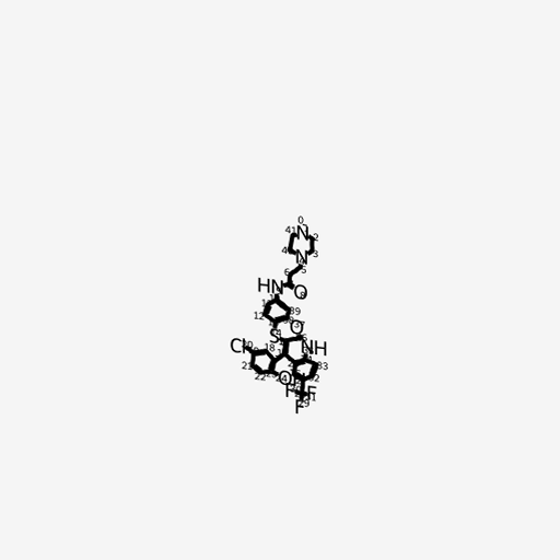 CN1CCN(CCC(=O)Nc2ccc(Sc3c(-c4cc(Cl)ccc4O)c4cc(C(F)(F)F)ccc4[nH]c3=O)cc2)CC1